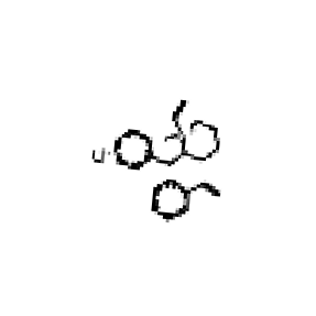 C=C[N+]1(C)CCCCC1Cc1ccccc1.C=Cc1ccccc1.[Cl-]